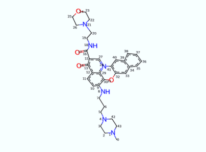 CN1CCN(CCCNc2ccc3c(=O)c(C(=O)NCCN4CCOCC4)cn4c3c2Oc2cc3ccccc3cc2-4)CC1